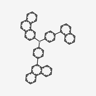 c1ccc2c(-c3ccc(N(c4ccc(-c5cc6ccccc6c6ccccc56)cc4)c4ccc5ccc6ccccc6c5c4)cc3)cccc2c1